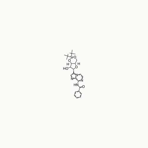 CC(C)(C)[Si]1(C(C)(C)C)OC[C@H]2O[C@@H](c3cnc4c(NC(=O)c5ccccc5)nccn34)C(O)[C@H]2O1